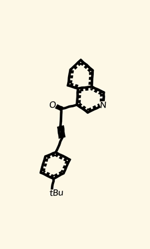 CC(C)(C)c1ccc(C#CC(=O)c2cncc3ccccc23)cc1